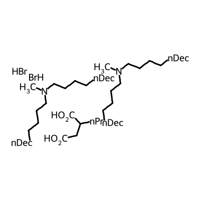 Br.Br.CCCC(CC(=O)O)C(=O)O.CCCCCCCCCCCCCCN(C)CCCCCCCCCCCCCC.CCCCCCCCCCCCCCN(C)CCCCCCCCCCCCCC